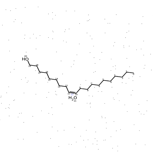 CCCCCCCCCC/C=C\CCCCCCCCO.O